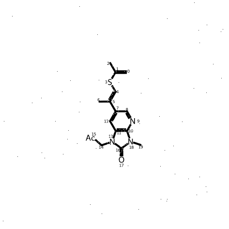 C=C(C)S/C=C(\C)c1cnc2c(c1)n(CC(C)=O)c(=O)n2C